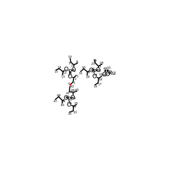 CCC(C)OP(OC(C)CC)OC(C)CC.CCC(C)OP(OC(C)CC)OC(C)CC.CCC(C)OP(OC(C)CC)OC(C)CC.[C]=O.[C]=O.[Ru]